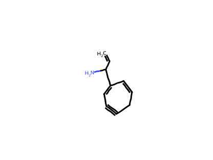 C=CC(N)C1=CC#CCC=C1